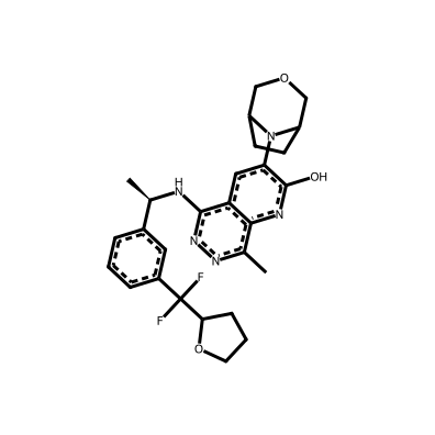 Cc1nnc(N[C@H](C)c2cccc(C(F)(F)C3CCCO3)c2)c2cc(N3C4CCC3COC4)c(O)nc12